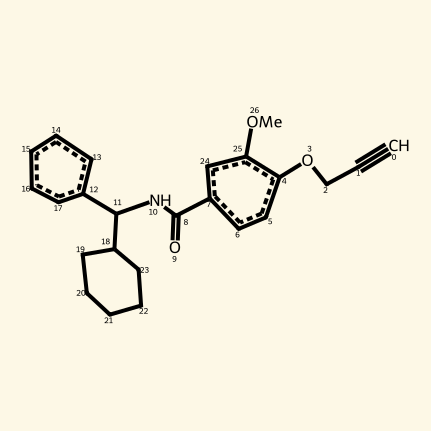 C#CCOc1ccc(C(=O)NC(c2ccccc2)C2CCCCC2)cc1OC